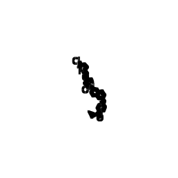 O=C(C1CC1)N1CCN(Cc2ccc3c(c2)CCC(n2ccc(OCc4ccc(Cl)cn4)cc2=O)=C3)CC1